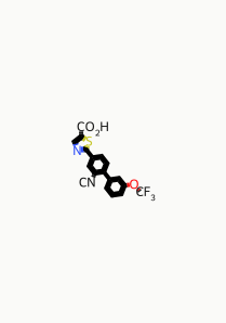 [C-]#[N+]c1cc(-c2ncc(C(=O)O)s2)ccc1-c1cccc(OC(F)(F)F)c1